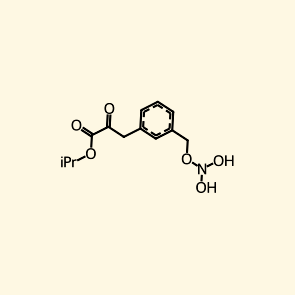 CC(C)OC(=O)C(=O)Cc1cccc(CON(O)O)c1